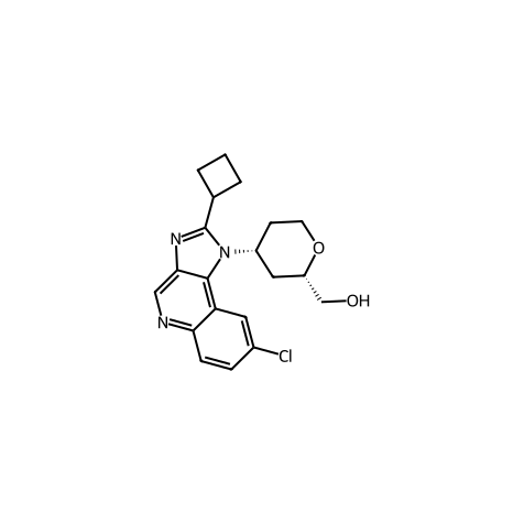 OC[C@@H]1C[C@H](n2c(C3CCC3)nc3cnc4ccc(Cl)cc4c32)CCO1